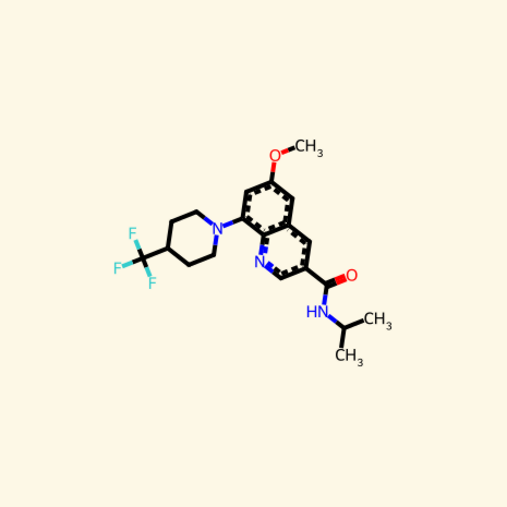 COc1cc(N2CCC(C(F)(F)F)CC2)c2ncc(C(=O)NC(C)C)cc2c1